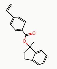 C=Cc1ccc(C(=O)OC2(C)CCc3ccccc32)cc1